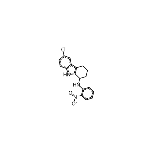 O=[N+]([O-])c1ccccc1NC1CCCc2c1[nH]c1ccc(Cl)cc21